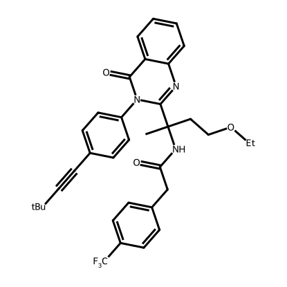 CCOCCC(C)(NC(=O)Cc1ccc(C(F)(F)F)cc1)c1nc2ccccc2c(=O)n1-c1ccc(C#CC(C)(C)C)cc1